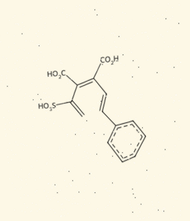 C=C(C(C(=O)O)=C(C=Cc1ccccc1)C(=O)O)S(=O)(=O)O